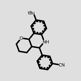 CC(C)(C)c1ccc2c(c1)C1OCCCC1C(c1cccc(C#N)c1)N2